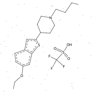 CCCCN1CCC(c2cc3ccc(OCC)cc3s2)CC1.O=S(=O)(O)C(F)(F)F